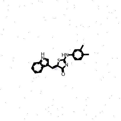 Cc1ccc(NC2=NC(=O)/C(=C/c3c[nH]c4ccccc34)S2)cc1C